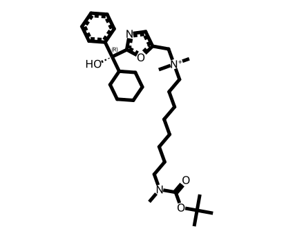 CN(CCCCCCCC[N+](C)(C)Cc1cnc([C@](O)(c2ccccc2)C2CCCCC2)o1)C(=O)OC(C)(C)C